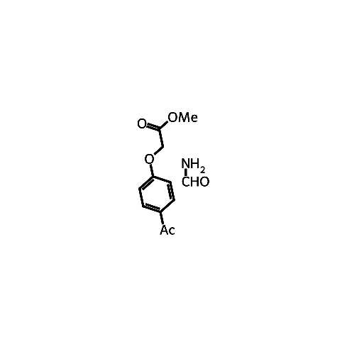 COC(=O)COc1ccc(C(C)=O)cc1.NC=O